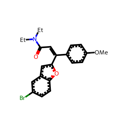 CCN(CC)C(=O)/C=C(/c1ccc(OC)cc1)c1cc2cc(Br)ccc2o1